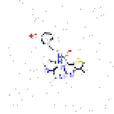 Cc1csc2c(C(=O)NCCc3cccc(O)c3)nc(NC(C)c3ccccn3)nc12